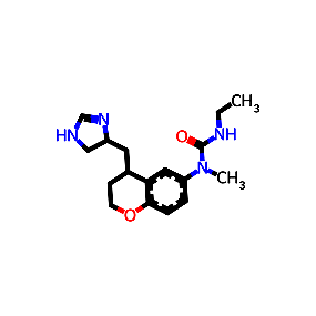 CCNC(=O)N(C)c1ccc2c(c1)C(CC1CNC=N1)CCO2